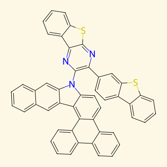 c1ccc2cc3c(cc2c1)c1c2c4ccccc4c4ccccc4c2ccc1n3-c1nc2c(nc1-c1ccc3c(c1)sc1ccccc13)sc1ccccc12